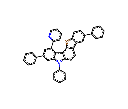 c1ccc(-c2ccc3sc4c(ccc5c4c4c(-c6ccccn6)cc(-c6ccccc6)cc4n5-c4ccccc4)c3c2)cc1